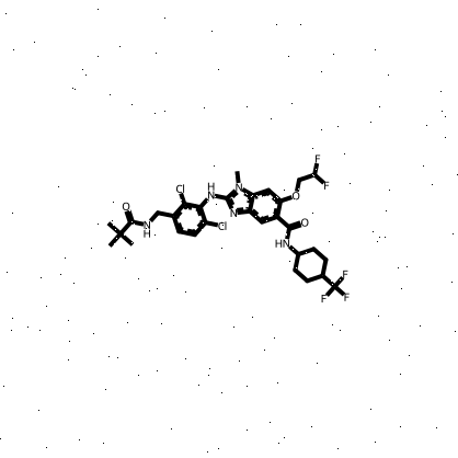 Cn1c(Nc2c(Cl)ccc(CNC(=O)C(C)(C)C)c2Cl)nc2cc(C(=O)NC3CCC(C(F)(F)F)CC3)c(OCC(F)F)cc21